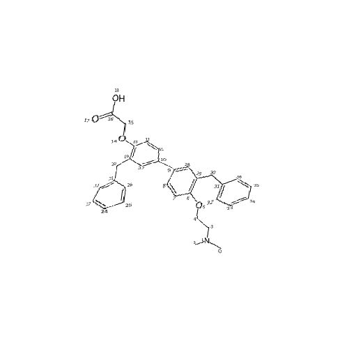 CN(C)CCOc1ccc(-c2ccc(OCC(=O)O)c(Cc3ccccc3)c2)cc1Cc1ccccc1